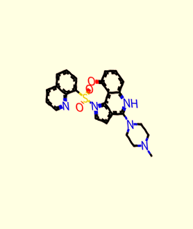 CN1CCN(c2[nH]c3cccc(=O)c-3c3c2ccn3S(=O)(=O)c2cccc3cccnc23)CC1